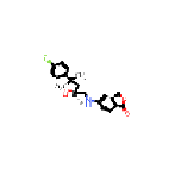 CC(C)(CC(O)(CNc1ccc2c(c1)COC2=O)C(F)(F)F)c1ccc(F)cc1